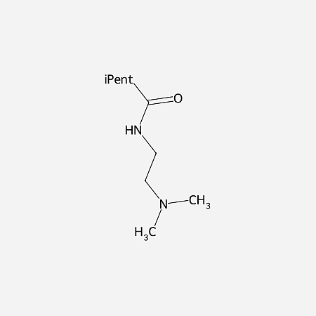 CC[CH]C(C)C(=O)NCCN(C)C